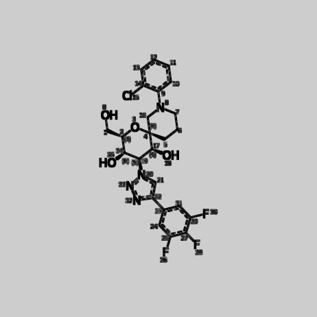 OC[C@H]1O[C@@]2(CCCN(c3ccccc3Cl)C2)[C@@H](O)[C@@H](n2cc(-c3cc(F)c(F)c(F)c3)nn2)[C@H]1O